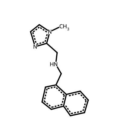 Cn1ccnc1CNCc1cccc2ccccc12